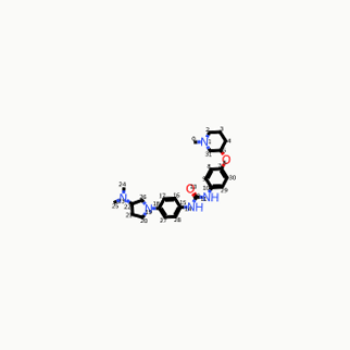 CN1CCCC(Oc2ccc(NC(=O)Nc3ccc(N4CCC(N(C)C)C4)cc3)cc2)C1